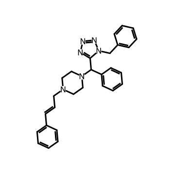 C(=C\c1ccccc1)/CN1CCN(C(c2ccccc2)c2nnnn2Cc2ccccc2)CC1